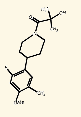 COc1cc(F)c(C2CCN(C(=O)C(C)(C)O)CC2)cc1C